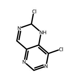 Clc1ncnc2c1NC(Cl)N=C2